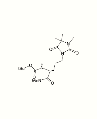 CNC(=O)[C@H](CCCN1C(=O)N(C)C(C)(C)C1=O)NC(=O)OC(C)(C)C